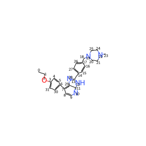 CCOc1ccc(-c2ccnc3[nH]c(-c4ccc(CN5CCN(C)CC5)cc4)nc23)cc1